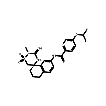 CN1C(=N)N[C@@]2(CCCc3ccc(NC(=O)c4ccc(OC(F)F)cn4)cc32)CS1(=O)=O